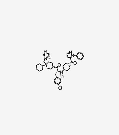 O=C(c1ccnn1-c1ccccc1)N1CCC(N[C@H](Cc2ccc(Cl)cc2)C(=O)N2CCC(Cn3cncn3)(C3CCCCC3)CC2)CC1